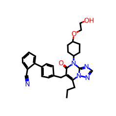 CCCc1c(Cc2ccc(-c3ccccc3C#N)cc2)c(=O)n(C2CCC(OCCO)CC2)c2ncnn12